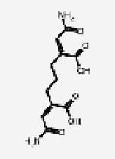 NC(=O)C=C(CCCC(=CC(N)=O)C(=O)O)C(=O)O